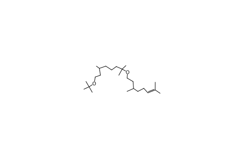 CC(C)=CCCC(C)CCOC(C)(C)CCCC(C)CCOC(C)(C)C